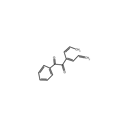 C=C/C=C(\C=C/C)C(=O)C(=O)c1ccccc1